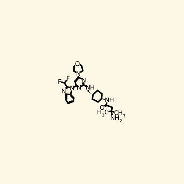 CC(C)(N)CC(=O)N[C@H]1CC[C@H](CNc2nc(N3CCOCC3)cc(-n3c(C(F)F)nc4ccccc43)n2)CC1